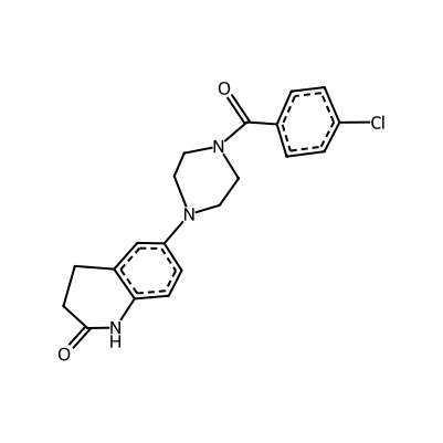 O=C1CCc2cc(N3CCN(C(=O)c4ccc(Cl)cc4)CC3)ccc2N1